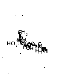 C=CCCOC(=O)N[C@@H](CNC(=O)c1ccc(OCCNC(=O)NCc2ccncc2)cc1O)C(=O)O